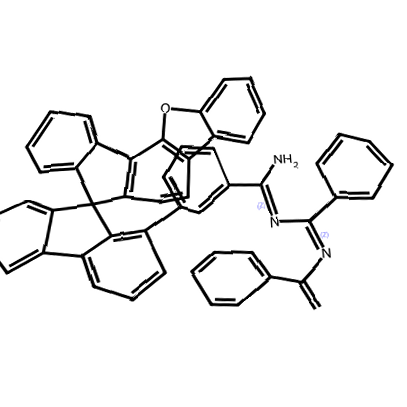 C=C(/N=C(\N=C(/N)c1cccc(-c2cccc3c2C2(c4ccccc4-3)c3ccccc3-c3c2ccc2c3oc3ccccc32)c1)c1ccccc1)c1ccccc1